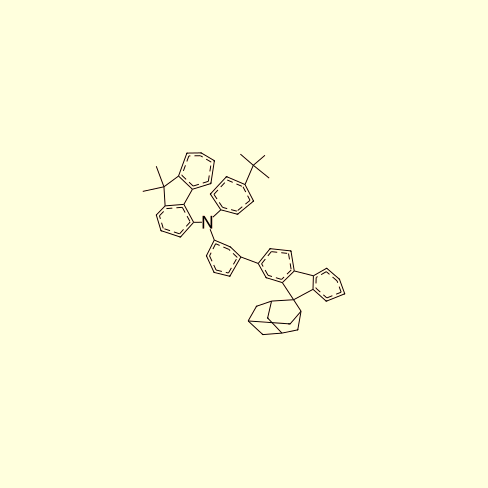 CC(C)(C)c1ccc(N(c2cccc(-c3ccc4c(c3)C3(c5ccccc5-4)C4CC5CC(C4)CC3C5)c2)c2cccc3c2-c2ccccc2C3(C)C)cc1